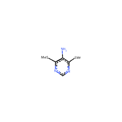 CSc1ncnc(SC)c1N